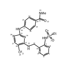 CCS(=O)(=O)Nc1nccnc1CNc1nc(Nc2ccc(C(=O)NC)cc2)ncc1C(F)(F)F